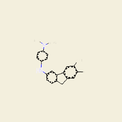 CCCCN(CCCC)c1ccc(Nc2ccc3c(c2)-c2cc(C)c(C)cc2C3)cc1